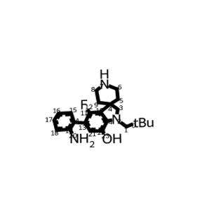 CC(C)(C)CN1CC2(CCNCC2)c2c(F)c(-c3ccccc3N)cc(O)c21